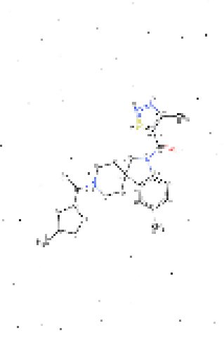 CCC(C1CCC(C)C1)N1CCC2(CC1)CN(C(=O)c1snnc1C)c1ccc(C)cc12